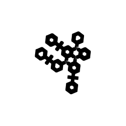 CC(C)(C1=CCCC(N2c3cc(C(C)(C)c4ccccc4)ccc3B3c4ccccc4N(C4=CCCC=C4)c4cc(C(C)(C)c5ccccc5)cc2c43)=C1)C1=CC=CCC1